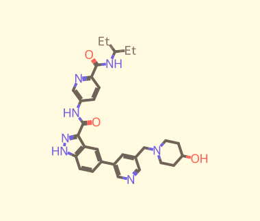 CCC(CC)NC(=O)c1ccc(NC(=O)c2n[nH]c3ccc(-c4cncc(CN5CCC(O)CC5)c4)cc23)cn1